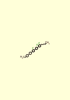 C=CC1CCC(C2CCC(c3ccc(-c4ccc(-c5ccc(CCC/C=C\C)c(F)c5F)cc4)c(F)c3)CC2)CC1